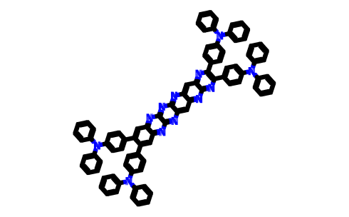 c1ccc(N(c2ccccc2)c2ccc(-c3cc4nc5nc6cc7nc8nc(-c9ccc(N(c%10ccccc%10)c%10ccccc%10)cc9)c(-c9ccc(N(c%10ccccc%10)c%10ccccc%10)cc9)nc8cc7nc6nc5nc4cc3-c3ccc(N(c4ccccc4)c4ccccc4)cc3)cc2)cc1